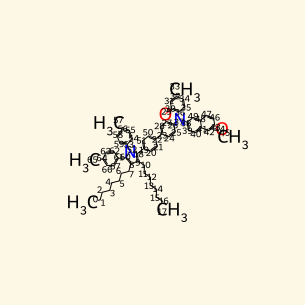 CCCCCCCCc1c(CCCCCCCC)c(-c2ccc(-c3ccc4c(c3)Oc3cc(C)ccc3N4c3ccc4cc(OC)ccc4c3)cc2)n(-c2ccc(C)cc2)c1-c1ccc(C)cc1